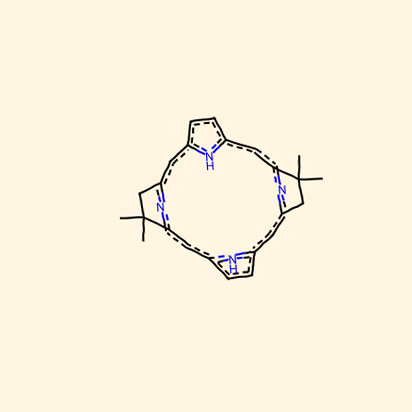 CC1(C)Cc2cc3ccc(cc4nc(cc5ccc(cc1n2)[nH]5)CC4(C)C)[nH]3